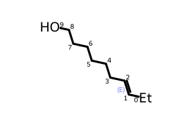 CC/C=C/CCCCCCO